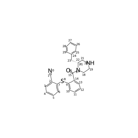 N#Cc1ccccc1Sc1ccccc1C(=O)N1CCNC[C@H]1Cc1ccccc1